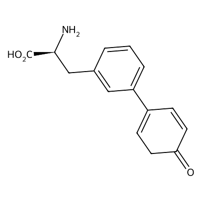 N[C@@H](Cc1cccc(C2=CCC(=O)C=C2)c1)C(=O)O